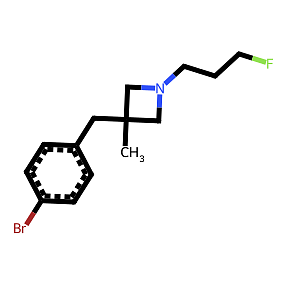 CC1(Cc2ccc(Br)cc2)CN(CCCF)C1